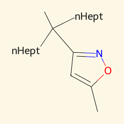 CCCCCCCC(C)(CCCCCCC)c1cc(C)on1